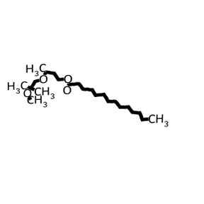 CCCCCCCCCCCCCC(=O)OCCC(C)OCC(C)(C)OC